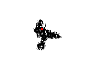 CC(C)(C)OC(=O)Nc1sc2cccc(-c3c(Cl)c4c5c(nc(OCC67CCCN6CCC7)nc5c3F)N3CC5CC6(C(=O)OC(C)(C)C)CC([C@H]3CO4)N56)c2c1C#N